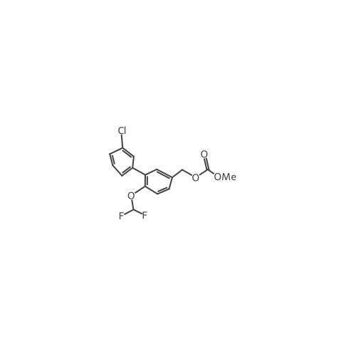 COC(=O)OCc1ccc(OC(F)F)c(-c2cccc(Cl)c2)c1